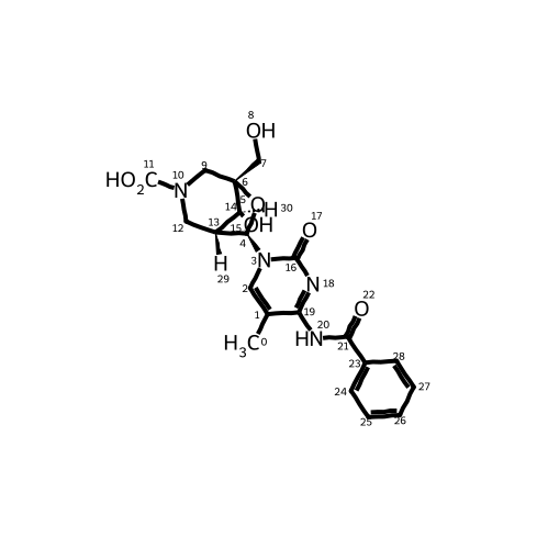 Cc1cn([C@@H]2O[C@@]3(CO)CN(C(=O)O)C[C@@H]2[C@@H]3O)c(=O)nc1NC(=O)c1ccccc1